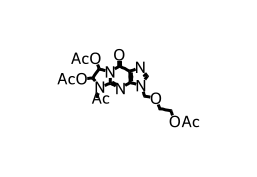 CC(=O)OCCOCn1cnc2c(=O)n3c(nc21)N(C(C)=O)C(OC(C)=O)C3OC(C)=O